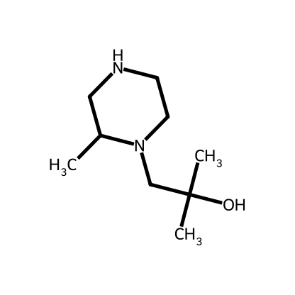 CC1CNCCN1CC(C)(C)O